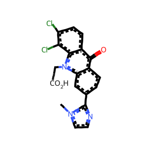 Cn1ccnc1-c1ccc2c(=O)c3ccc(Cl)c(Cl)c3n(CC(=O)O)c2c1